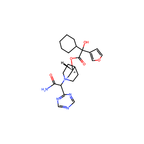 NC(=O)C(c1ncncn1)[N+]12CCC(CC1)[C@@H](OC(=O)C(O)(c1ccoc1)C1CCCCC1)C2